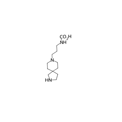 O=C(O)NCCCN1CCC2(CCNC2)CC1